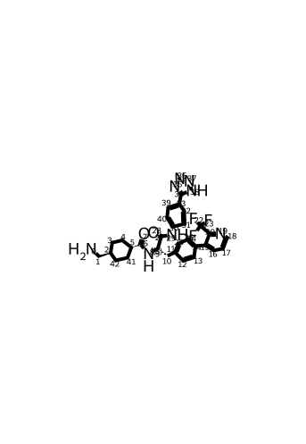 NC[C@H]1CC[C@H](C(=O)N[C@@H](Cc2ccc(-c3cccnc3C(F)(F)F)cc2)C(=O)Nc2ccc(-c3nnn[nH]3)cc2)CC1